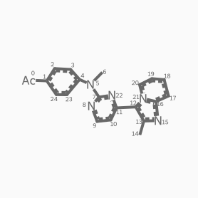 CC(=O)c1ccc(N(C)c2nccc(-c3c(C)nc4ccccn34)n2)cc1